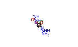 CNC(=O)NN=C1C=CC(=NNC(=N)N)C=C1.Cl.O